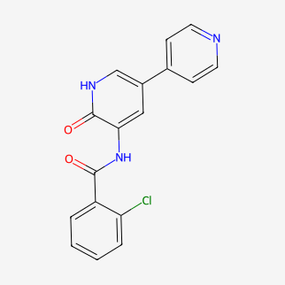 O=C(Nc1cc(-c2ccncc2)c[nH]c1=O)c1ccccc1Cl